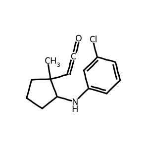 CC1(C=C=O)CCCC1Nc1cccc(Cl)c1